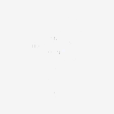 CC(C(=O)O)n1/c(=N/C(=O)c2ccc(Cl)cc2)sc2ccccc21